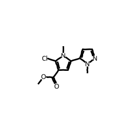 COC(=O)c1cc(-c2ccnn2C)n(C)c1Cl